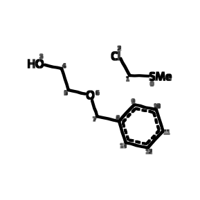 CSCCl.OCCOCc1ccccc1